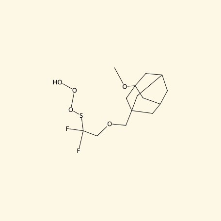 COC12CC3CC(CC(COCC(F)(F)SOOO)(C3)C1)C2